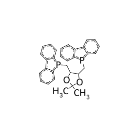 CC1(C)OC(Cp2c3ccccc3c3ccccc32)C(Cp2c3ccccc3c3ccccc32)O1